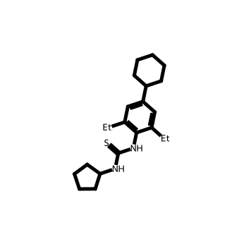 CCc1cc(C2CCCCC2)cc(CC)c1NC(=S)NC1CCCC1